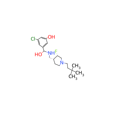 CC(C)(C)CCN1CC[C@H](CNC(O)c2cc(O)cc(Cl)c2)[C@H](F)C1